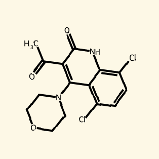 CC(=O)c1c(N2CCOCC2)c2c(Cl)ccc(Cl)c2[nH]c1=O